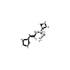 CO[SiH](OC=CC1CCCC1)C1CCC1